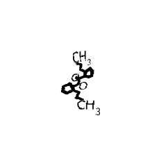 CCCCc1ccccc1C(=O)C(=O)c1ccccc1CCCC